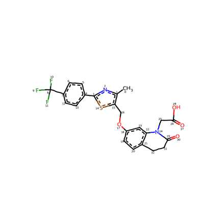 Cc1nc(-c2ccc(C(F)(F)F)cc2)sc1COc1ccc2c(c1)N(CC(=O)O)C(=O)CC2